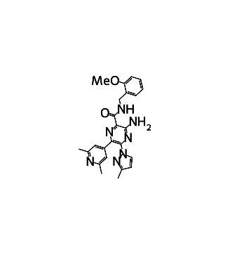 COc1ccccc1CNC(=O)c1nc(-c2cc(C)nc(C)c2)c(-n2ccc(C)n2)nc1N